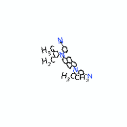 CC1=CC(C)CC(N(c2cccc(C#N)c2)c2ccc3ccc4c(N5CC(C)(C)c6cc(C#N)ccc65)ccc5ccc2c3c54)=C1